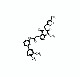 Cc1cc(Cn2c(=O)c3c(ncn3CC(=O)Nc3cccc(-c4cnc(C(F)(F)F)c(C)c4)n3)n(C)c2=O)no1